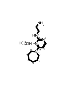 Cl.Cl.NCCNc1nccc(N2CCCCCC2)n1